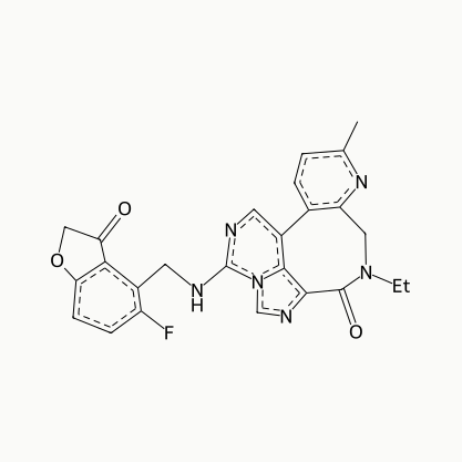 CCN1Cc2nc(C)ccc2-c2cnc(NCc3c(F)ccc4c3C(=O)CO4)n3cnc(c23)C1=O